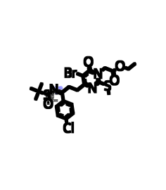 CCOC(=O)Cn1c(SC)nc(CC/C(=N/[S@+]([O-])C(C)(C)C)c2ccc(Cl)cc2)c(Br)c1=O